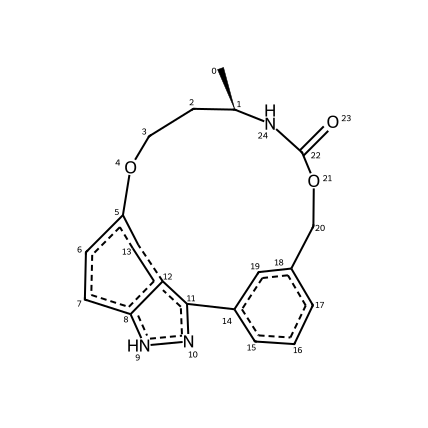 C[C@@H]1CCOc2ccc3[nH]nc(c3c2)-c2cccc(c2)COC(=O)N1